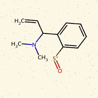 C=CC(c1ccccc1[S+]=O)N(C)C